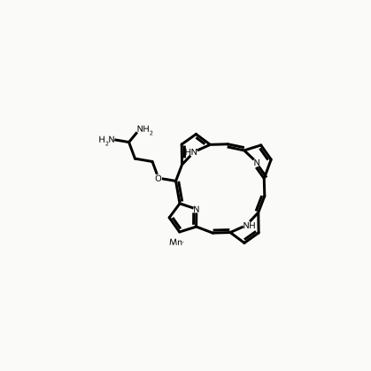 NC(N)CCOc1c2nc(cc3ccc(cc4nc(cc5ccc1[nH]5)C=C4)[nH]3)C=C2.[Mn]